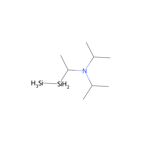 CC(C)N(C(C)C)C(C)[SiH2][SiH3]